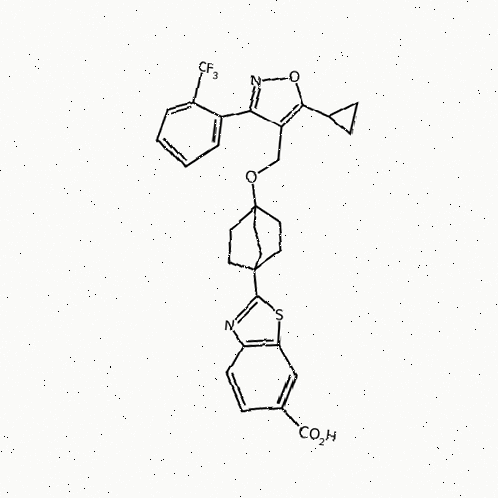 O=C(O)c1ccc2nc(C34CCC(OCc5c(-c6ccccc6C(F)(F)F)noc5C5CC5)(CC3)CC4)sc2c1